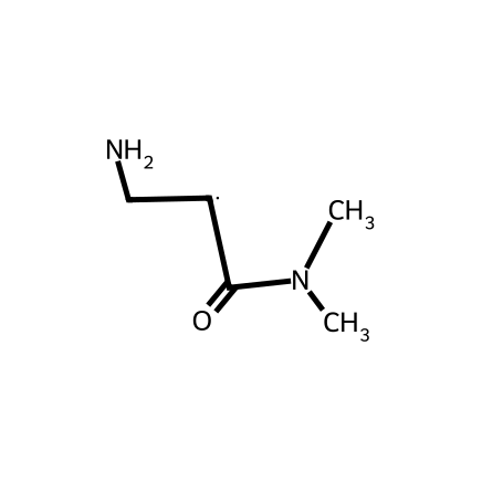 CN(C)C(=O)[CH]CN